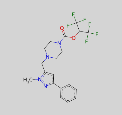 Cn1nc(-c2ccccc2)cc1CN1CCN(C(=O)OC(C(F)(F)F)C(F)(F)F)CC1